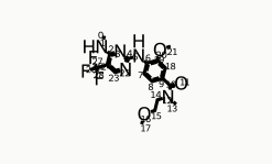 CNc1nc(Nc2ccc(C(=O)N(C)CCOC)cc2OC)ncc1C(F)(F)F